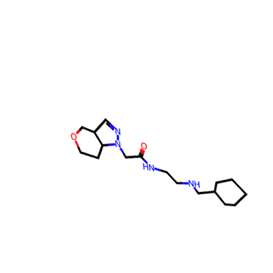 O=C(CN1N=CC2COCCC21)NCCNCC1CCCCC1